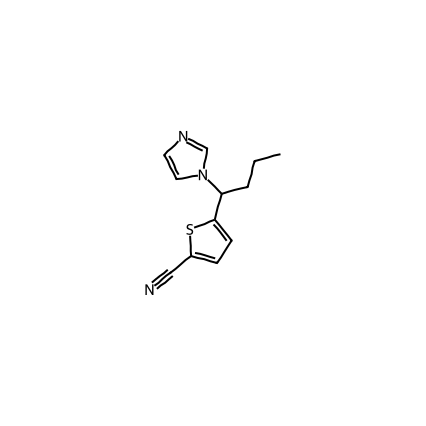 CCCC(c1ccc(C#N)s1)n1ccnc1